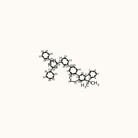 CC1(C)c2ccccc2-c2cc3c(cc21)CCCc1cc(-c2cccc(-c4nc(-c5ccccc5)nc(-c5ccccc5)n4)c2)ccc1-3